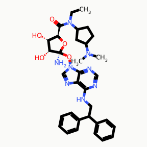 CCN(C(=O)[C@H]1O[C@@](N)(On2cnc3c(NCC(c4ccccc4)c4ccccc4)ncnc32)[C@H](O)[C@@H]1O)C1CCC(N(C)C)C1